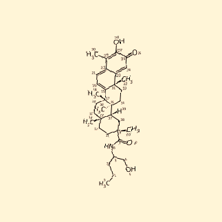 CCCC(CO)NC(=O)[C@]1(C)CC[C@]2(C)CC[C@]3(C)C4=CC=C5C(=CC(=O)C(O)=C5C)[C@]4(C)CC[C@@]3(C)[C@@H]2C1